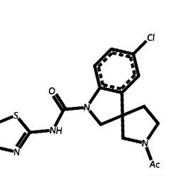 CC(=O)N1CCC2(C1)CN(C(=O)NC1=NCCS1)c1ccc(Cl)cc12